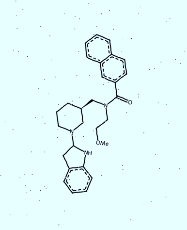 COCCN(C[C@@H]1CCCN(C2Cc3ccccc3N2)C1)C(=O)c1ccc2ccccc2c1